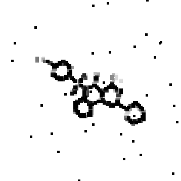 Cc1ccc(S(=O)(=O)NC(=O)c2c(-c3ccccc3)cc(-c3ccccc3)nc2C)cc1